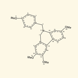 COc1ccc(CN2Cc3cc(OC)c(OC)cc3-c3ccc(OC)cc32)cc1